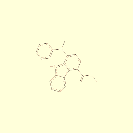 COC(=O)c1ccc(C(C)c2ccccc2)c2[nH]c3ccccc3c12